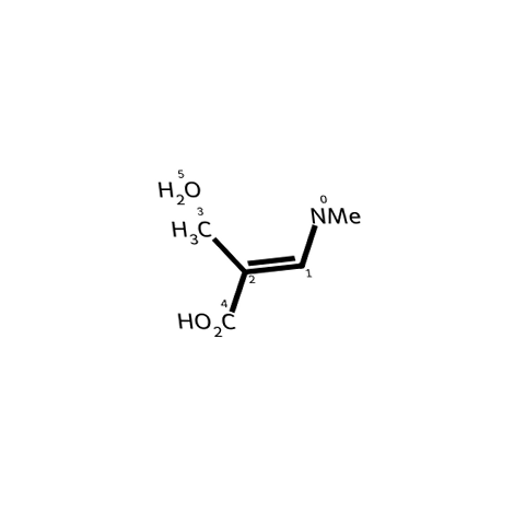 CNC=C(C)C(=O)O.O